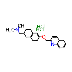 CN(C)CC1CCc2cc(OCc3ccc4ccccc4n3)ccc2C1.Cl.Cl